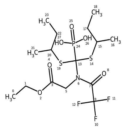 CCOC(=O)CN(C(=O)C(F)(F)F)C(SC(C)CC)(SC(C)CC)P(=O)(O)O